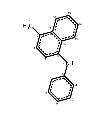 Cc1ccc(Nc2ccccc2)c2ccccc12